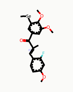 COc1ccc(/C=C(\C)C(=O)c2cc(OC)c(OC)c([Se]C)c2)c(F)c1